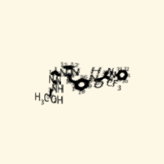 CC(O)CNc1nccc(-n2ccnc2Cc2cccc(NC(=O)c3cnn(-c4ccccc4)c3C(F)(F)F)c2)n1